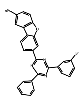 CCCc1ccc2oc3cc(-c4nc(-c5ccccc5)nc(-c5cccc(Br)c5)n4)ccc3c2c1